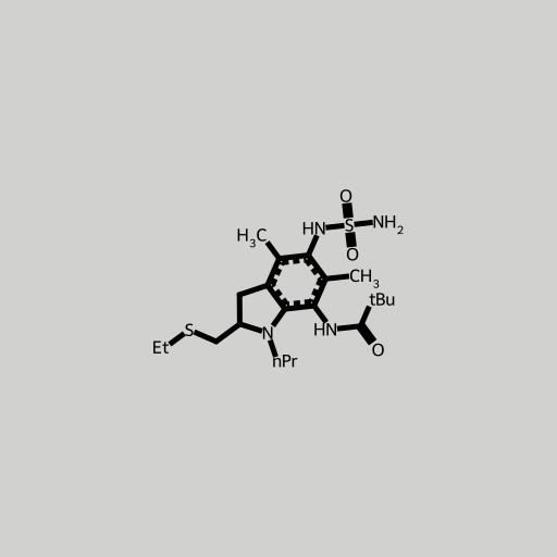 CCCN1c2c(c(C)c(NS(N)(=O)=O)c(C)c2NC(=O)C(C)(C)C)CC1CSCC